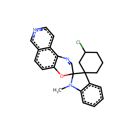 CN1c2ccccc2C2(CCCC(Cl)C2)C12C=Nc1c(ccc3cnccc13)O2